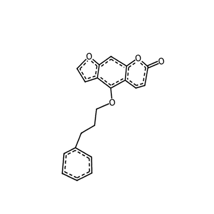 O=c1ccc2c(OCCCc3ccccc3)c3ccoc3cc2o1